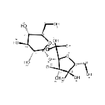 OC[C@H]1O[C@H](O[C@]2(C(O)(Cl)Cl)O[C@H](CO)[C@](O)(Cl)[C@@]2(O)Cl)[C@H](O)[C@@H](O)[C@@H]1O